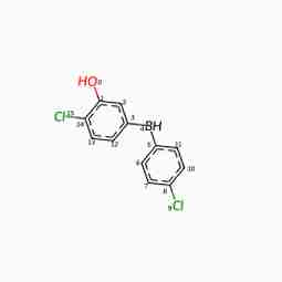 Oc1cc(Bc2ccc(Cl)cc2)ccc1Cl